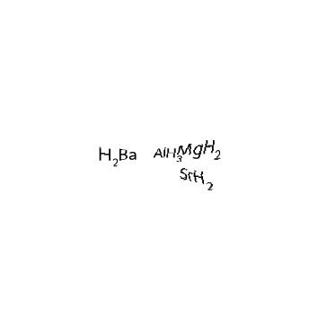 [AlH3].[BaH2].[MgH2].[SrH2]